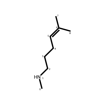 CNCCCC=C(C)C